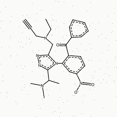 C#CCN(CC)Cc1nnc(C(C)N(C)C)n1-c1cc([N+](=O)[O-])ccc1C(=O)c1ccccc1